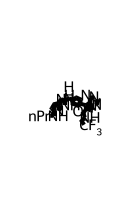 CCCNc1ccc2nc(Nc3ccc(-c4c(C(=O)NCC(F)(F)F)cn5ncnc(N)c45)cc3)[nH]c2n1